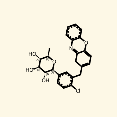 C[C@H]1O[C@@H](c2ccc(Cl)c(CC3=CC=C4Oc5ccccc5N=C4C3)c2)[C@H](O)[C@@H](O)[C@@H]1O